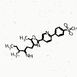 CCC(C)C(=N)CCc1nc(-c2ccc(-c3ccc(S(C)(=O)=O)cc3)nc2)oc1C